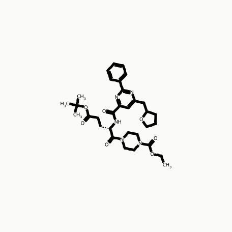 CCOC(=O)N1CCN(C(=O)[C@H](CCC(=O)OC(C)(C)C)NC(=O)c2cc(CC3CCCO3)nc(-c3ccccc3)n2)CC1